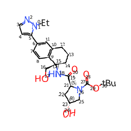 CCn1nccc1-c1ccc2c(c1)CCC[C@]2(CO)NC(=O)[C@@H]1C[C@@H](O)CN1C(=O)OC(C)(C)C